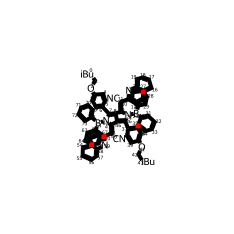 CCC(C)COc1ccc(-c2c3/c(=C(\C#N)c4ccc5ccccc5n4)n(B(c4ccccc4)c4ccccc4)c(-c4ccc(OCC(C)CC)cc4)c3/c(=C(\C#N)c3ccc4ccccc4n3)n2B(c2ccccc2)c2ccccc2)cc1